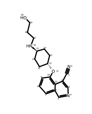 N#Cc1cncc2cccc(O[C@H]3CC[C@H](NCCCO)CC3)c12